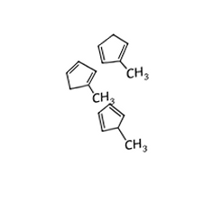 CC1=CC=CC1.CC1=CCC=C1.CC1C=CC=C1